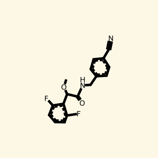 COC(C(=O)NCc1ccc(C#N)cc1)c1c(F)cccc1F